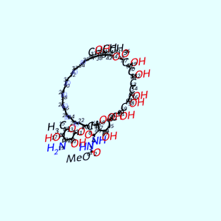 COC(=O)NNC(=O)[C@H]1[C@@H]2C[C@@H](O[C@H]3O[C@@H](C)[C@@H](O)[C@H](N)[C@@H]3O)/C=C/C=C/C=C/C=C/C=C/C=C/C=C/[C@H](C)[C@@H](O)[C@@H](C)[C@H](C)OC(=O)C[C@H](O)C[C@H](O)CC[C@@H](O)[C@H](O)C[C@H](O)CC(O)(C[C@@H]1O)O2